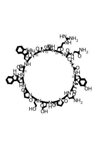 CCCC[C@H]1C(=O)N(C)[C@@H](CCCC)C(=O)N[C@@H](CCCNC(=N)N)C(=O)NC(C(=O)NCC(N)=O)CSCC(=O)N[C@@H](Cc2ccc(O)cc2)C(=O)N(C)[C@@H](C)C(=O)N[C@@H](CC(N)=O)C(=O)N2CCC[C@H]2C(=O)N[C@@H](CCO)C(=O)N[C@@H](CCO)C(=O)N2CCC[C@H]2C(=O)N[C@@H](Cc2c[nH]c3ccccc23)C(=O)N[C@@H](CO)C(=O)N[C@@H](Cc2csc3ccccc23)C(=O)N1C